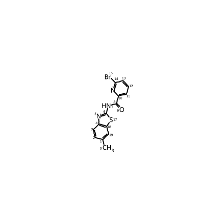 Cc1ccc2nc(NC(=O)c3cccc(Br)n3)sc2c1